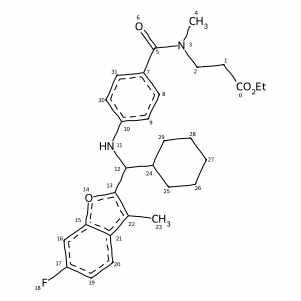 CCOC(=O)CCN(C)C(=O)c1ccc(NC(c2oc3cc(F)ccc3c2C)C2CCCCC2)cc1